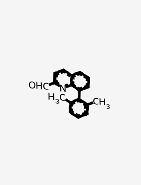 Cc1cccc(C)c1-c1cccc2ccc(C=O)nc12